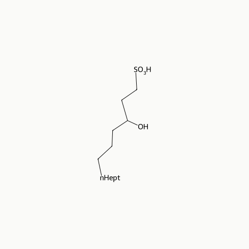 CCCCCCCCCCC(O)CCS(=O)(=O)O